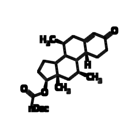 CCCCCCCCCCC(=O)O[C@H]1CCC2C3C([C@@H](C)C[C@@]21C)[C@H]1CCC(=O)C=C1C[C@@H]3C